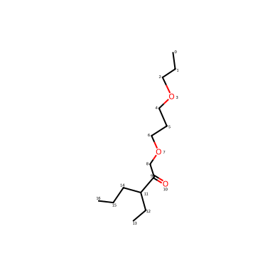 CCCOCCCOCC(=O)C(CC)CCC